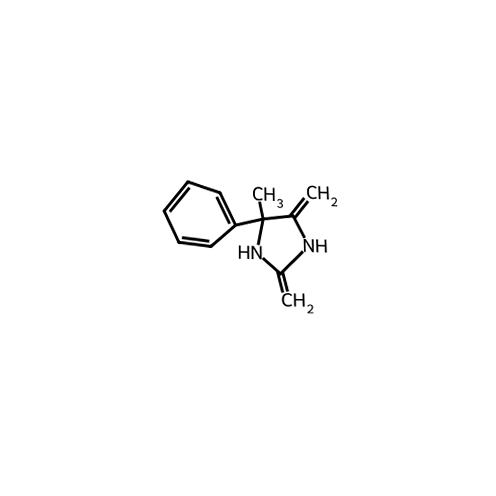 C=C1NC(=C)C(C)(c2ccccc2)N1